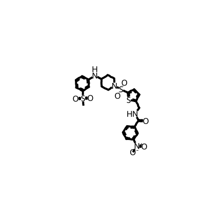 CS(=O)(=O)c1cccc(NC2CCN(S(=O)(=O)c3ccc(CNC(=O)c4cccc([N+](=O)[O-])c4)s3)CC2)c1